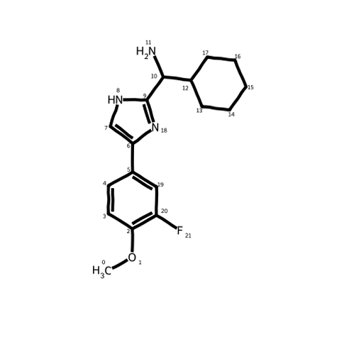 COc1ccc(-c2c[nH]c(C(N)C3CCCCC3)n2)cc1F